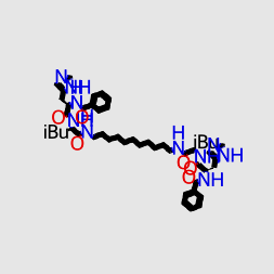 CCC(C)[C@H](NC(=O)[C@H](Cc1cnc[nH]1)NC(=O)c1ccccc1)C(=O)NCCCCCCCCCCCNC(=O)[C@H](NC(=O)[C@@H](Cc1cnc[nH]1)NC(=O)c1ccccc1)C(C)CC